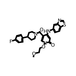 COCCOn1cc(C(=O)N2CCC(c3ccc(F)cc3)CC2)c(Nc2ccc3scnc3c2)cc1=O